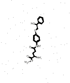 COC(=O)C(N)CCC(=O)Nc1ccc(OCC(O)c2ccccc2)cc1